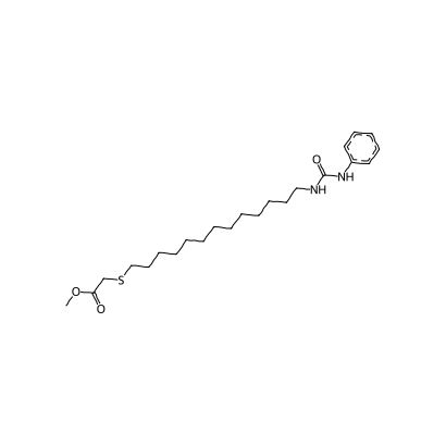 COC(=O)CSCCCCCCCCCCCCCNC(=O)Nc1ccccc1